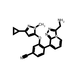 Cn1nc(C2CC2)cc1Oc1cc(C#N)ccc1-c1cccn2c(CN)nnc12